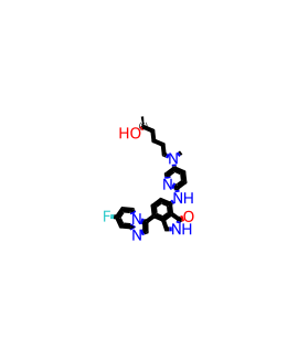 C[C@H](O)CCCCN(C)c1ccc(Nc2ccc(-c3cnc4cc(F)ccn34)c3c2C(=O)NC3)nc1